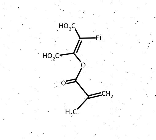 C=C(C)C(=O)O/C(C(=O)O)=C(\CC)C(=O)O